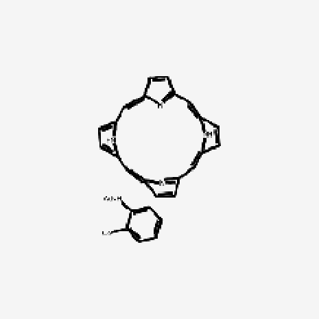 C1=Cc2cc3ccc(cc4nc(cc5ccc(cc1n2)[nH]5)C=C4)[nH]3.CC(=O)Nc1cccc[c]1[Co]